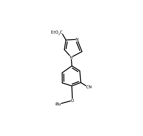 CCOC(=O)c1cn(-c2ccc(OC(C)CC)c(C#N)c2)cn1